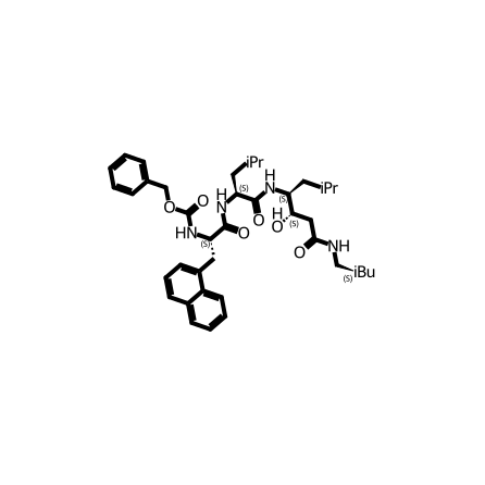 CC[C@H](C)CNC(=O)C[C@H](O)[C@H](CC(C)C)NC(=O)[C@H](CC(C)C)NC(=O)[C@H](Cc1cccc2ccccc12)NC(=O)OCc1ccccc1